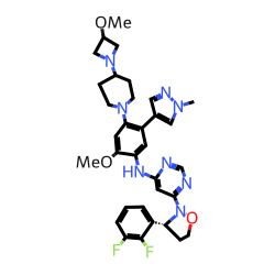 COc1cc(N2CCC(N3CC(OC)C3)CC2)c(-c2cnn(C)c2)cc1Nc1cc(N2OCC[C@@H]2c2cccc(F)c2F)ncn1